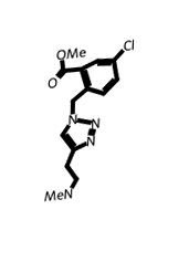 CNCCc1cn(Cc2ccc(Cl)cc2C(=O)OC)nn1